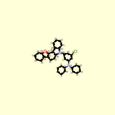 Clc1cc(N(c2ccccc2)c2ccccc2)cc(-n2c3ccccc3c3c4oc5ccccc5c4ccc32)c1